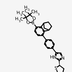 CC1(C)OB(c2ccc(-c3ccc(-c4cnc([C@H]5CCCS5)[nH]4)cc3)c3c2C2CCC3C2)OC1(C)C